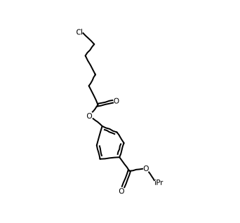 CC(C)OC(=O)c1ccc(OC(=O)CCCCCl)cc1